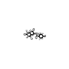 Cn1c(=O)c2cc(NC(=O)c3ccc(F)cc3)c(=O)oc2n(C)c1=O